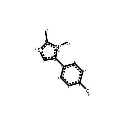 Cc1scc(-c2ccc(Cl)cc2)[n+]1C